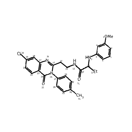 CCC(Nc1cccc(OC)c1)C(=O)NCCc1nc2cc(Cl)ccc2c(=O)n1-c1ccc(C)cc1